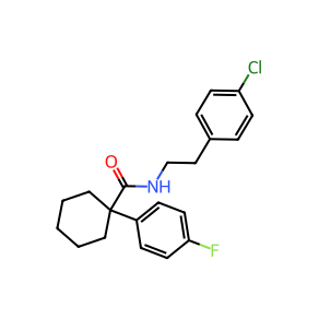 O=C(NCCc1ccc(Cl)cc1)C1(c2ccc(F)cc2)CCCCC1